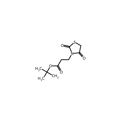 CC(C)(C)OC(=O)CCN1C(=O)CSC1=O